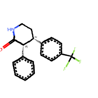 O=C1NCC[C@H](c2ccc(C(F)(F)F)cc2)[C@@H]1c1ccccc1